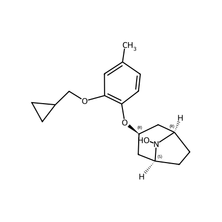 Cc1ccc(O[C@H]2C[C@H]3CC[C@@H](C2)N3O)c(OCC2CC2)c1